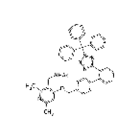 CC(=O)NCc1c(OCc2ccc(-c3ccccc3-c3nnn(C(c4ccccc4)(c4ccccc4)c4ccccc4)n3)cc2)cc(C)nc1C